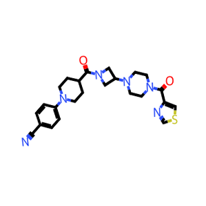 N#Cc1ccc(N2CCC(C(=O)N3CC(N4CCN(C(=O)c5cscn5)CC4)C3)CC2)cc1